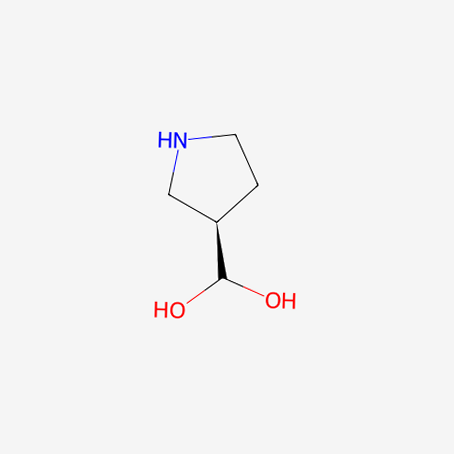 OC(O)[C@@H]1CCNC1